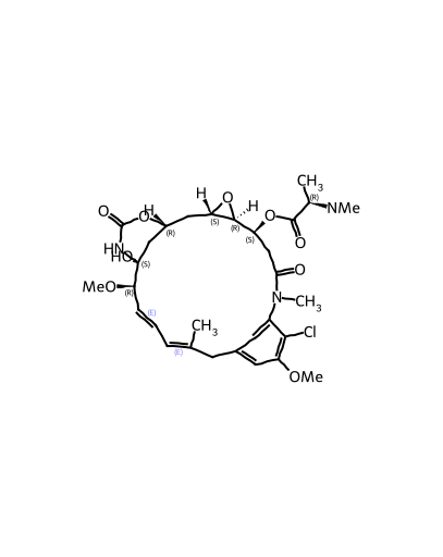 CN[C@H](C)C(=O)O[C@H]1CC(=O)N(C)c2cc(cc(OC)c2Cl)C/C(C)=C/C=C/[C@@H](OC)[C@@]2(O)C[C@@H](C[C@@H]3O[C@@H]13)OC(=O)N2